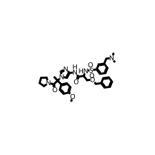 COc1ccc(C(C)(C(=O)N2CCCC2)n2cnc(NC(=O)C(COCc3ccccc3)NS(=O)(=O)c3cccc(CN(C)C)c3)c2)cc1